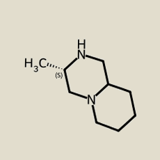 C[C@H]1CN2CCCCC2CN1